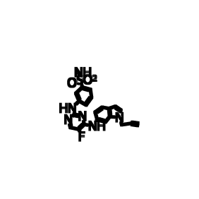 C#CCn1ccc2ccc(Nc3nc(Nc4cccc(S(N)(=O)=O)c4)ncc3F)cc21